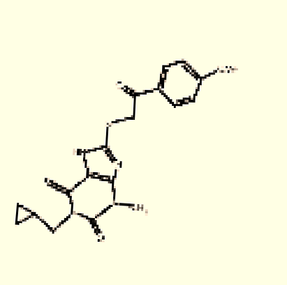 COc1ccc(C(=O)CSc2nc3c([nH]2)c(=S)n(CC2CC2)c(=O)n3C)cc1